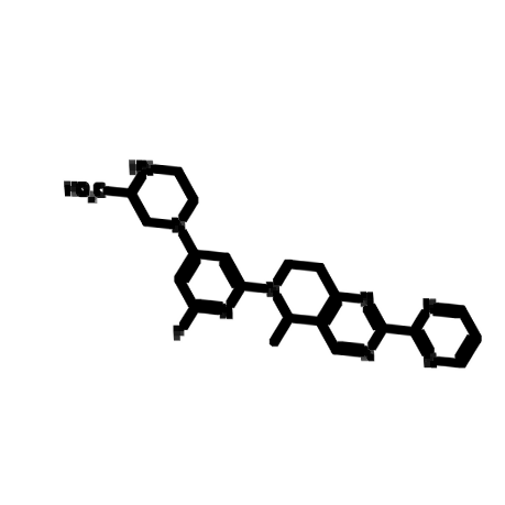 CC1c2cnc(-c3ncccn3)nc2CCN1c1cc(N2CCNC(C(=O)O)C2)cc(F)n1